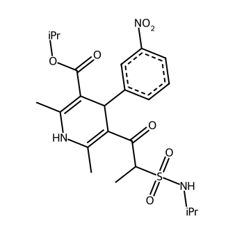 CC1=C(C(=O)OC(C)C)C(c2cccc([N+](=O)[O-])c2)C(C(=O)C(C)S(=O)(=O)NC(C)C)=C(C)N1